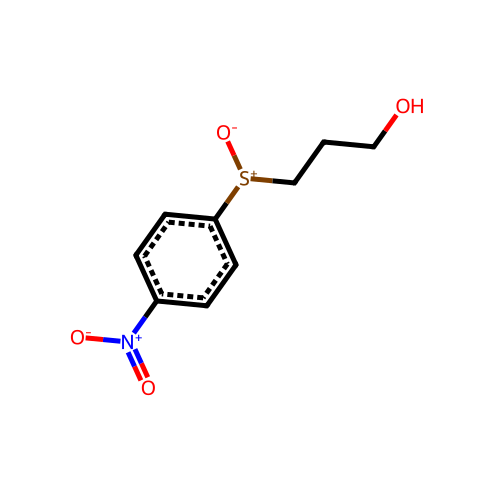 O=[N+]([O-])c1ccc([S+]([O-])CCCO)cc1